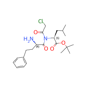 CC(C)C[C@@H](C(=O)OC(C)(C)C)N(C(=O)CCl)C(=O)[C@H](N)CCc1ccccc1